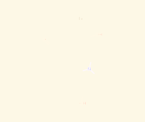 O=Cc1cc(Br)c(O)c(CN2CCC(O)CC2)c1